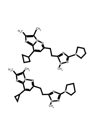 Cc1nc2c(C3CC3)cc(CCc3nc(N4CCCC4)nn3C)nn2c1C.Cc1nc2c(C3CCC3)cc(CCc3nc(N4CCCC4)nn3C)nn2c1C